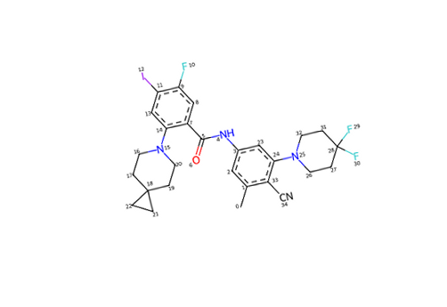 Cc1cc(NC(=O)c2cc(F)c(I)cc2N2CCC3(CC2)CC3)cc(N2CCC(F)(F)CC2)c1C#N